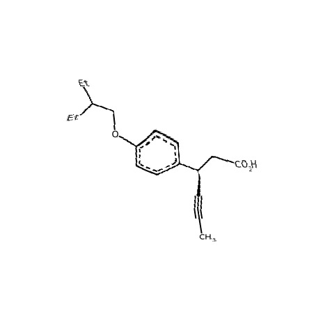 CC#C[C@H](CC(=O)O)c1ccc(OCC(CC)CC)cc1